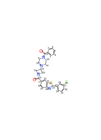 O=C(c1ccccc1)N1CCN(C2CN(C(=O)c3ccc4nc(-c5cccc(F)c5)sc4c3)C2)CC1